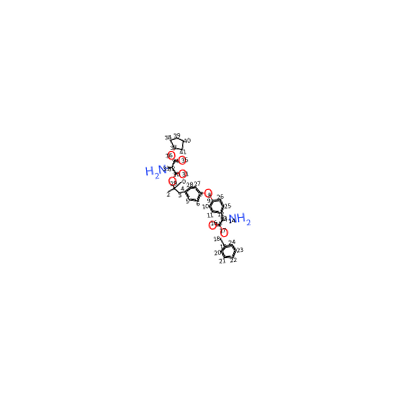 CC(C)(Cc1ccc(Oc2ccc([C@H](N)C(=O)OCc3ccccc3)cc2)cc1)OC(=O)C(N)C(=O)OC1CCCC1